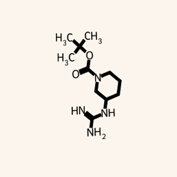 CC(C)(C)OC(=O)N1CCCC(NC(=N)N)C1